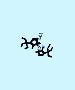 CCC(CC)(CC)C1=C(C)[C](C)([Zr+2][C]2(C)C=CC(C(CC)(CC)CC)=C2C)C=C1.[Cl-].[Cl-]